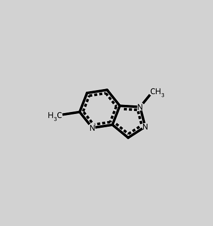 Cc1ccc2c(cnn2C)n1